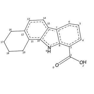 O=C(O)c1cccc2c1[nH]c1c3c(ccc12)CCCC3